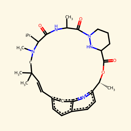 CC1NC(=O)C(C(C)C)N(C)CC(C)(C)/C=C/c2ccc3ccc(nc3c2)[C@@H](C)OC(=O)C2CCCN(N2)C1=O